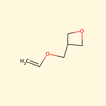 C=COCC1COC1